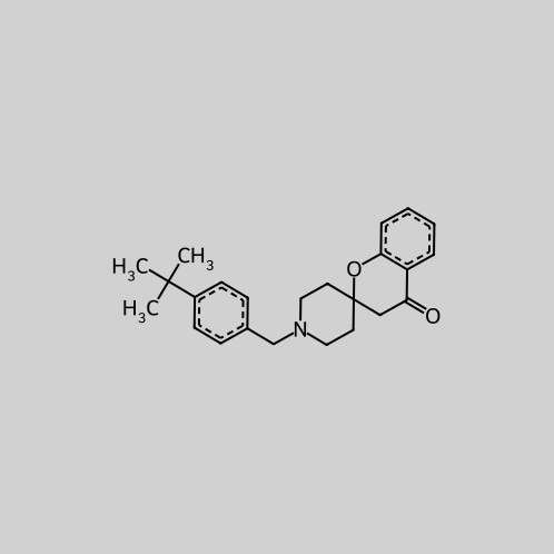 CC(C)(C)c1ccc(CN2CCC3(CC2)CC(=O)c2ccccc2O3)cc1